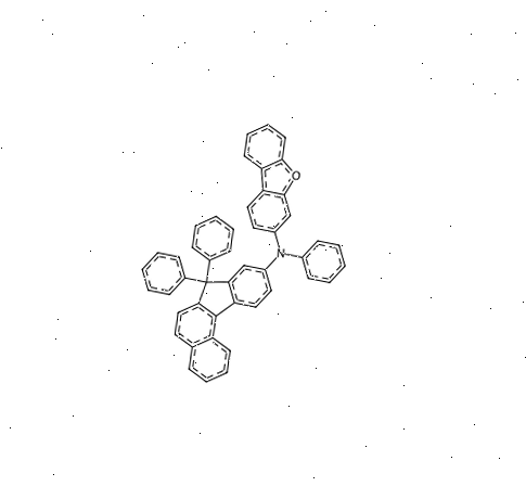 c1ccc(N(c2ccc3c(c2)C(c2ccccc2)(c2ccccc2)c2ccc4ccccc4c2-3)c2ccc3c(c2)oc2ccccc23)cc1